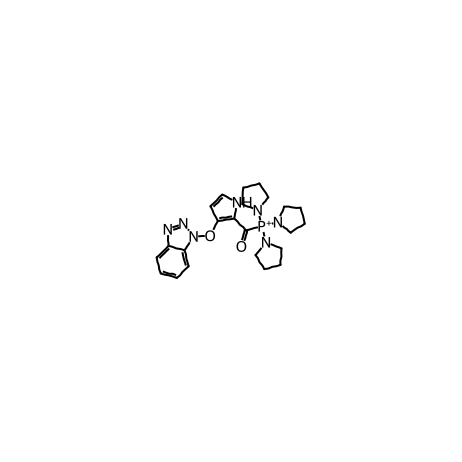 O=C(c1[nH]ccc1On1nnc2ccccc21)[P+](N1CCCC1)(N1CCCC1)N1CCCC1